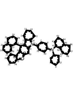 c1ccc(N(c2ccc(-n3c4ccccc4c4c(-c5cccc6ccccc56)c5c(cc43)oc3ccccc35)cc2)c2cccc3ccccc23)cc1